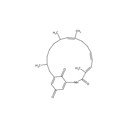 C/C1=C/C(C)CCCC(C)CC2=CC(=O)C=C(NC(=O)/C(C)=C/C=C\C[CH]1)C2=O